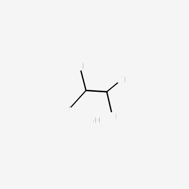 ClC(Cl)C(Cl)Cl.[CaH2]